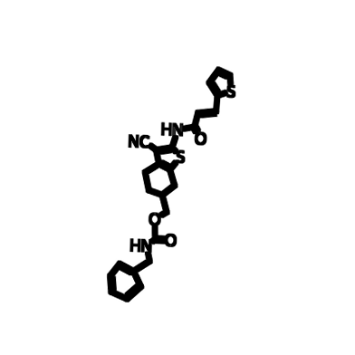 N#Cc1c(NC(=O)C=Cc2cccs2)sc2c1CCC(COC(=O)NCc1ccccc1)C2